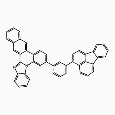 c1cc(-c2ccc3c4cc5ccccc5cc4c4nc5ccccc5n4c3c2)cc(-c2ccc3c4c(cccc24)-c2ccccc2-3)c1